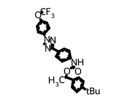 CC(OC(=O)Nc1ccc(-c2ncn(-c3ccc(OC(F)(F)F)cc3)n2)cc1)c1ccc(C(C)(C)C)cc1